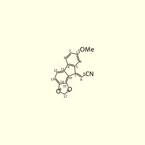 COc1ccc2c(c1)C(=CC#N)c1c-2ccc2c1OCO2